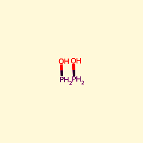 OP.OP